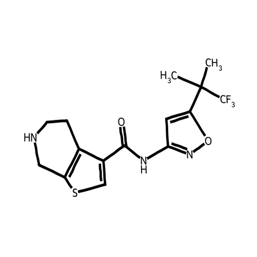 CC(C)(c1cc(NC(=O)c2csc3c2CCNC3)no1)C(F)(F)F